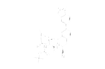 CC1C2C1[C@@H]1C[C@H]2[C@@H](C(=O)N[C@H](C#N)Cc2ccc(-c3ccc4c(cnn4C)c3)cc2F)N1C(=O)OC(C)(C)C